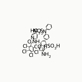 Nc1ccc2cccc(S(=O)(=O)O)c2c1.O=C(O)c1c(Cl)c(Cl)c(Cl)c(Cl)c1C(=O)Nc1ccc([N+](=O)[O-])cn1.O=S(=O)(O)N(c1ccccc1)c1ccccc1